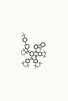 CC(C)(C)c1ccc(-c2ccc3c(c2)C2(C)CCCCC2(C)N3c2cc3c4c(c2)N(c2cccc5c2sc2ccccc25)c2cc5c(cc2B4c2cc4c(cc2N3c2ccc3c(c2)C(C)(C)CCC3(C)C)C(C)(C)CCC4(C)C)C(C)(C)CC5(C)C)cc1